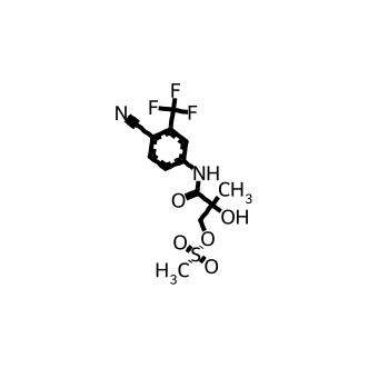 CC(O)(COS(C)(=O)=O)C(=O)Nc1ccc(C#N)c(C(F)(F)F)c1